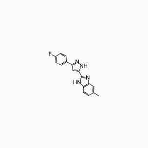 Cc1ccc2[nH]c(-c3cc(-c4ccc(F)cc4)n[nH]3)nc2c1